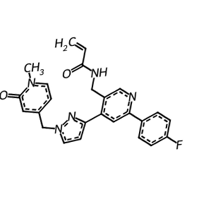 C=CC(=O)NCc1cnc(-c2ccc(F)cc2)cc1-c1ccn(Cc2ccn(C)c(=O)c2)n1